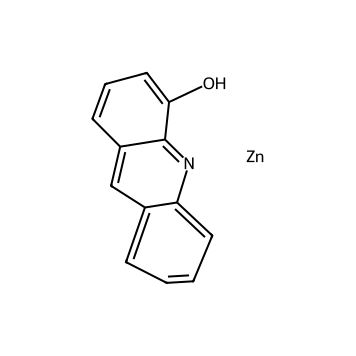 Oc1cccc2cc3ccccc3nc12.[Zn]